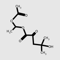 CC(=O)OC(C)OC(=O)C(=O)CC(C)(C)O